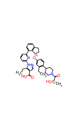 CCc1cc(O[C@H]2CCc3cccc(-c4cccc(-n5ncc(C(=O)O)c5CC)n4)c32)ccc1C1CCN(C(=O)[C@H](C)O)CC1